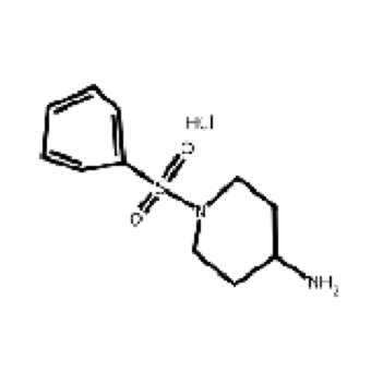 Cl.NC1CCN(S(=O)(=O)c2ccccc2)CC1